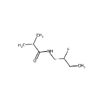 CCC(F)CNC(=O)C(C)C